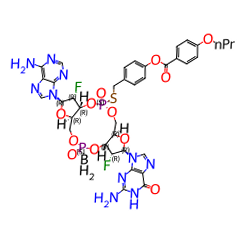 B[P@]1(=O)OC[C@H]2O[C@@H](n3cnc4c(N)ncnc43)[C@H](F)[C@@H]2O[P@@](=O)(SCc2ccc(OC(=O)c3ccc(OCCC)cc3)cc2)OC[C@H]2O[C@@H](n3cnc4c(=O)[nH]c(N)nc43)[C@H](F)[C@@H]2O1